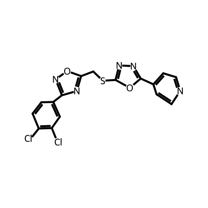 Clc1ccc(-c2noc(CSc3nnc(-c4ccncc4)o3)n2)cc1Cl